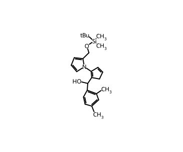 Cc1ccc(C(O)C2=C(n3cccc3CO[Si](C)(C)C(C)(C)C)C=CC2)c(C)c1